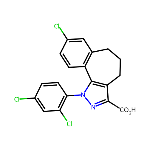 O=C(O)c1nn(-c2ccc(Cl)cc2Cl)c2c1CCCc1cc(Cl)ccc1-2